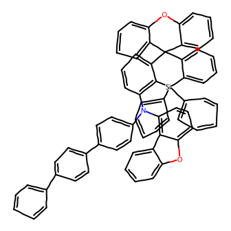 c1ccc(-c2ccc(-c3ccc(N(c4cccc5c4[Si](c4ccccc4)(c4ccccc4)c4ccccc4C54c5ccccc5Oc5ccccc54)c4cccc5oc6ccccc6c45)cc3)cc2)cc1